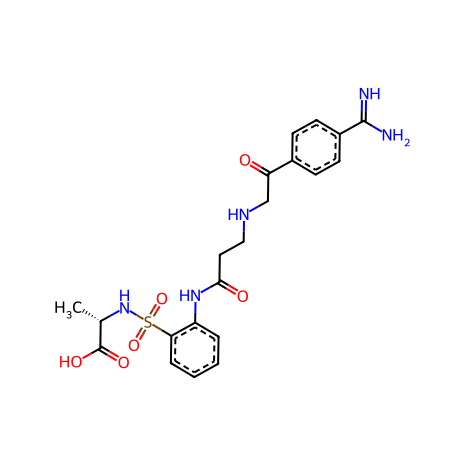 C[C@H](NS(=O)(=O)c1ccccc1NC(=O)CCNCC(=O)c1ccc(C(=N)N)cc1)C(=O)O